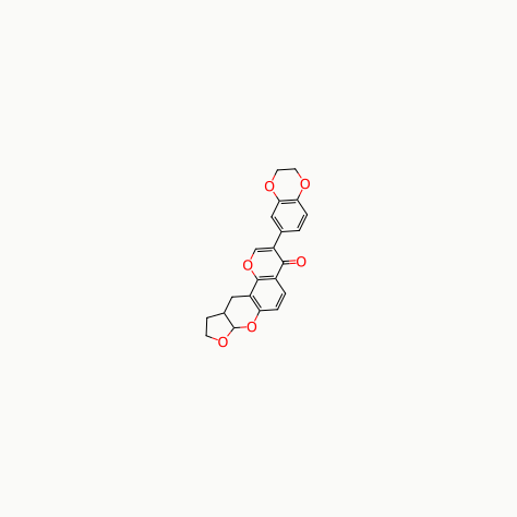 O=c1c(-c2ccc3c(c2)OCCO3)coc2c3c(ccc12)OC1OCCC1C3